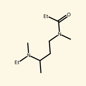 CCC(=O)N(C)CCC(C)N(C)CC